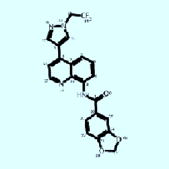 O=C(Nc1cccc2c(-c3cnn(CC(F)(F)F)c3)ccnc12)c1ccc2c(c1)OCO2